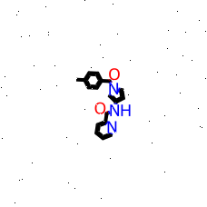 Cc1ccc(C(=O)n2ccc(NC(=O)c3ccccn3)c2)cc1